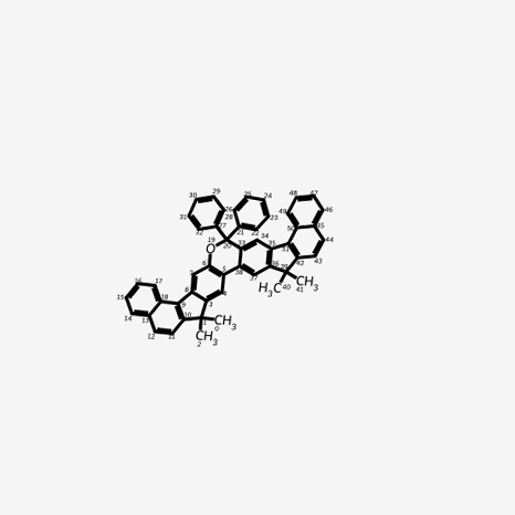 CC1(C)c2cc3c(cc2-c2c1ccc1ccccc21)OC(c1ccccc1)(c1ccccc1)c1cc2c(cc1-3)C(C)(C)c1ccc3ccccc3c1-2